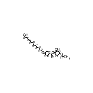 CC(=O)Oc1ccc(OC(=O)c2ccc(OCCCCCCCCCCCCO)cc2)c(C)c1